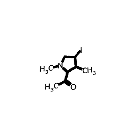 CC(=O)C1C(C)C(I)CN1C